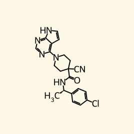 C[C@@H](NC(=O)C1(C#N)CCN(c2ncnc3[nH]ccc23)CC1)c1ccc(Cl)cc1